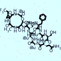 CC[C@H](C)[C@H](NC(=O)[C@@H](Cc1ccccc1)NC)C(=O)N[C@@H](CO)C(=O)N[C@H](CCC(N)=O)C(=O)N[C@@H](C(=O)N[C@H](C(=O)N[C@@H](CO)C(=O)N[C@H]1C(=O)N[C@@H](C)C(=O)NC2(CC2CC(F)(F)F)C(=O)N[C@@H]([C@@H](C)CC)C(=O)O[C@H]1C)[C@@H](C)CC)[C@@H](C)CC